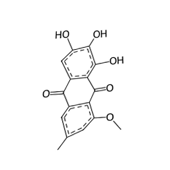 COc1cc(C)cc2c1C(=O)c1c(cc(O)c(O)c1O)C2=O